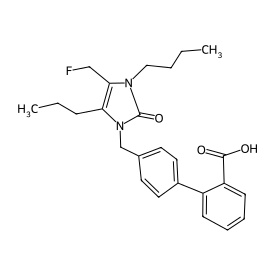 CCCCn1c(CF)c(CCC)n(Cc2ccc(-c3ccccc3C(=O)O)cc2)c1=O